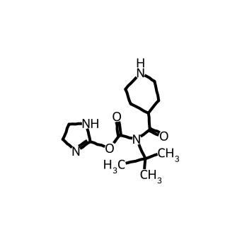 CC(C)(C)N(C(=O)OC1=NCCN1)C(=O)C1CCNCC1